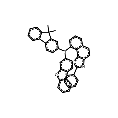 CC1(C)c2ccccc2-c2ccc(N(c3ccc4c(c3)oc3ccccc34)c3cccc4ccc5nc(-c6ccccc6)oc5c34)cc21